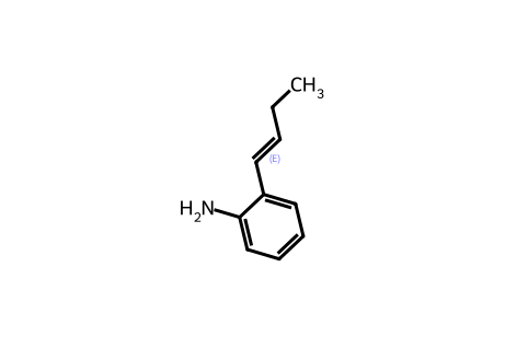 CC/C=C/c1ccccc1N